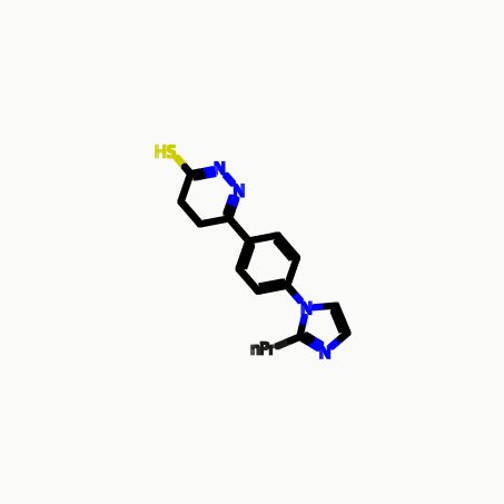 CCCc1nccn1-c1ccc(C2=NN=C(S)CC2)cc1